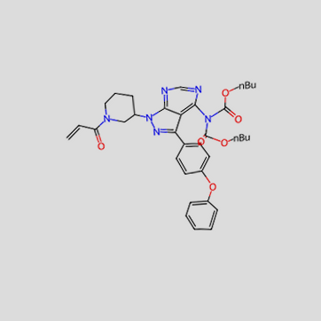 C=CC(=O)N1CCCC(n2nc(-c3ccc(Oc4ccccc4)cc3)c3c(N(C(=O)OCCCC)C(=O)OCCCC)ncnc32)C1